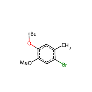 CCCCOc1cc(C)c(Br)cc1OC